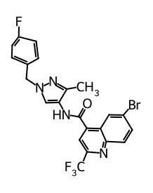 Cc1nn(Cc2ccc(F)cc2)cc1NC(=O)c1cc(C(F)(F)F)nc2ccc(Br)cc12